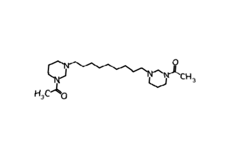 CC(=O)N1CCCN(CCCCCCCCCN2CCCN(C(C)=O)C2)C1